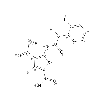 CCC(C(=O)Nc1sc(C(N)=O)c(C)c1C(=O)OC)c1ccccc1F